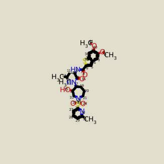 COc1cc2cc(C(=O)N[C@@H](CC(C)C)C(=O)NC3CCCN(S(=O)(=O)c4cccc(C)n4)CC3O)sc2cc1OC